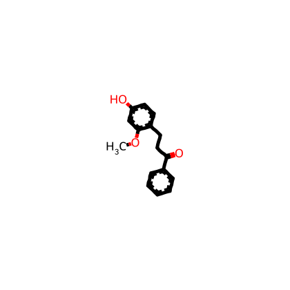 COc1cc(O)ccc1CCC(=O)c1ccccc1